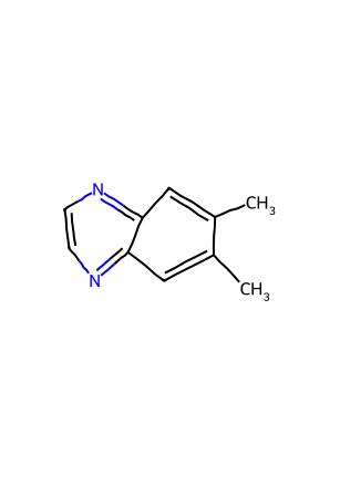 Cc1cc2nccnc2cc1C